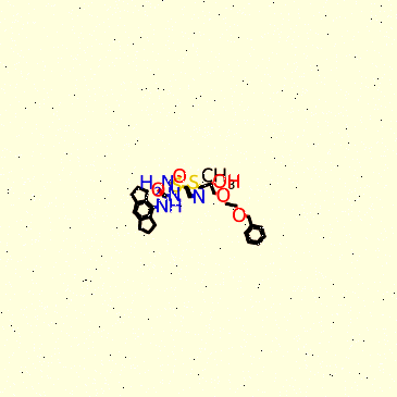 C[C@@](O)(COCCOCc1ccccc1)c1ncc(S(N)(=O)=NC(=O)Nc2c3c(cc4c2CCC4)CCC3)s1